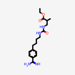 CCOC(=O)C(C)CNC(=O)NCCCCc1ccc(C(=N)N)cc1